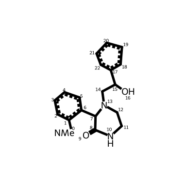 CNc1ccccc1C1C(=O)NCCN1CC(O)c1ccccc1